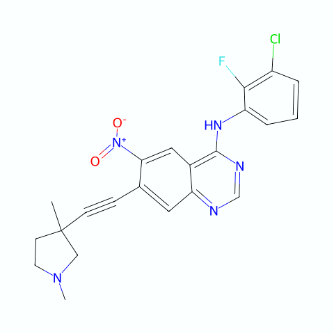 CN1CCC(C)(C#Cc2cc3ncnc(Nc4cccc(Cl)c4F)c3cc2[N+](=O)[O-])C1